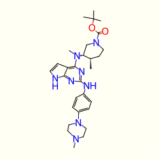 C[C@@H]1CCN(C(=O)OC(C)(C)C)C[C@@H]1N(C)c1nc(Nc2ccc(N3CCN(C)CC3)cc2)nc2[nH]ccc12